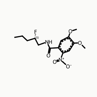 CCC[C@H](F)CNC(=O)c1cc(OC)c(OC)cc1[N+](=O)[O-]